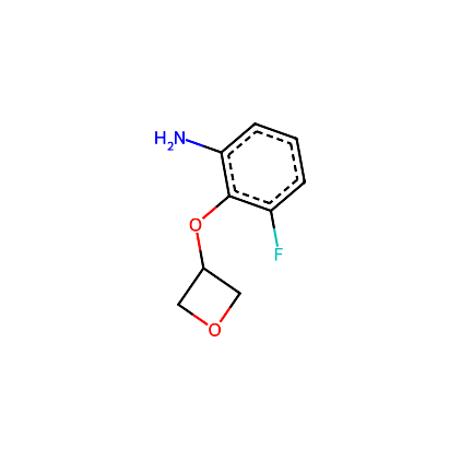 Nc1cccc(F)c1OC1COC1